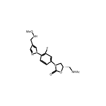 CONCc1cnn(-c2ccc(N3C[C@H](CNC(C)=O)OC3=O)cc2F)c1